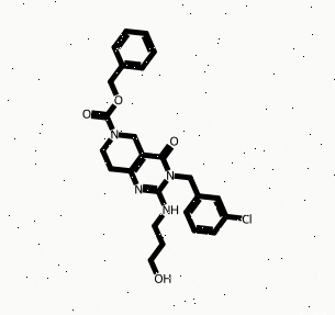 O=C(OCc1ccccc1)N1CCc2nc(NCCCO)n(Cc3cccc(Cl)c3)c(=O)c2C1